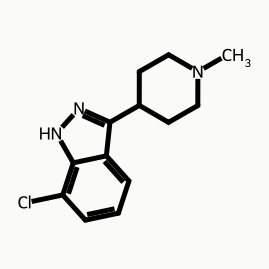 CN1CCC(c2n[nH]c3c(Cl)cccc23)CC1